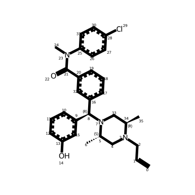 C=CCN1C[C@H](C)N([C@@H](c2cccc(O)c2)c2cccc(C(=O)N(C)c3ccc(Cl)cc3)c2)C[C@H]1C